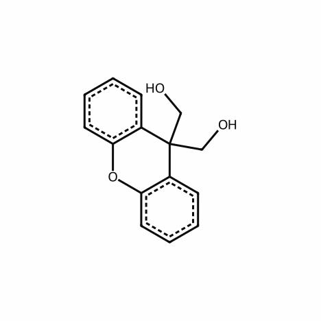 OCC1(CO)c2ccccc2Oc2ccccc21